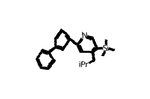 CC(C)Cc1cc(-c2cccc(-c3ccccc3)c2)ncc1[Si](C)(C)C